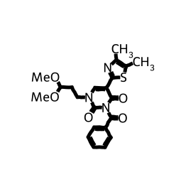 COC(CCn1cc(-c2nc(C)c(C)s2)c(=O)n(C(=O)c2ccccc2)c1=O)OC